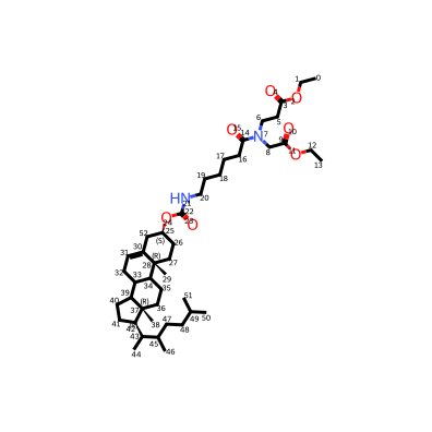 CCOC(=O)CCN(CC(=O)OCC)C(=O)CCCCCNC(=O)O[C@H]1CC[C@@]2(C)C(=CCC3C2CC[C@@]2(C)C3CC[C@@H]2C(C)C(C)CCC(C)C)C1